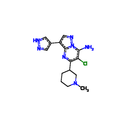 CN1CCCC(c2nc3c(-c4cn[nH]c4)cnn3c(N)c2Cl)C1